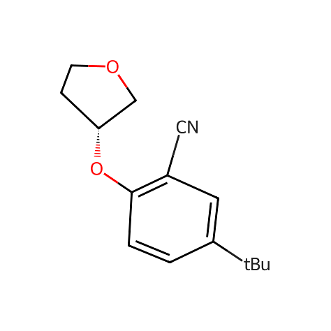 CC(C)(C)c1ccc(O[C@@H]2CCOC2)c(C#N)c1